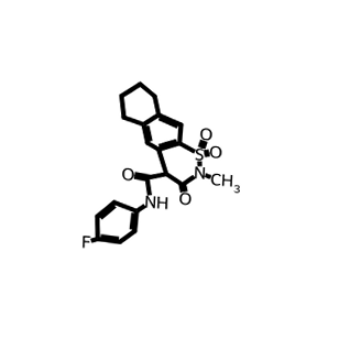 CN1C(=O)C(C(=O)Nc2ccc(F)cc2)c2cc3c(cc2S1(=O)=O)CCCC3